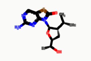 CC[C@H](O)[C@@H]1C[C@@H]([C@@H](C)OC(C)=O)[C@H](n2c(=O)sc3cnc(N)nc32)O1